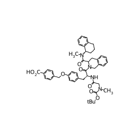 CN(CC(=O)N[C@@H](Cc1ccc(OCc2ccc(C(=O)O)cc2)cc1)C(=O)N1Cc2ccccc2CC1C(=O)N(C)[C@@H]1CCCc2ccccc21)C(=O)OC(C)(C)C